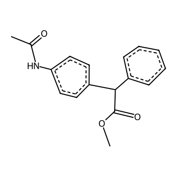 COC(=O)C(c1ccccc1)c1ccc(NC(C)=O)cc1